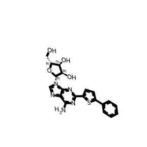 Nc1nc(-c2ccc(-c3ccccc3)s2)nc2c1ncn2[C@@H]1O[C@H](CO)[C@@H](O)[C@H]1O